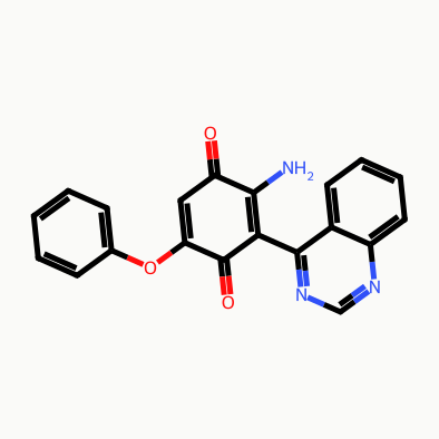 NC1=C(c2ncnc3ccccc23)C(=O)C(Oc2ccccc2)=CC1=O